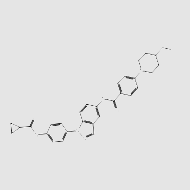 O=C(Nc1ccc2c(cnn2-c2ccc(NC(=O)C3CC3)cc2)c1)c1ccc(N2CCC(CO)CC2)cc1